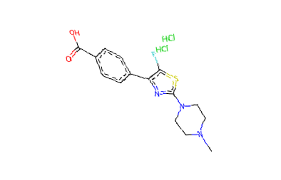 CN1CCN(c2nc(-c3ccc(C(=O)O)cc3)c(F)s2)CC1.Cl.Cl